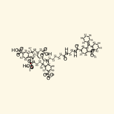 COCC[N+]1=C(/C=C/C=C2/N(CCCCCC(=O)NCCNC(=O)c3ccc(C(=O)OC)c(P(c4ccccc4)c4ccccc4)c3)c3ccc(S(=O)(=O)[O-])cc3C2(C)CCCS(=O)(=O)O)C(C)(CCCS(=O)(=O)O)c2cc(S(=O)(=O)O)ccc21